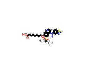 CC(C)(C)S(=O)(=O)c1cc2c(Nc3ccc4scnc4c3)ccnc2cc1OCCCCCCCC(=O)O